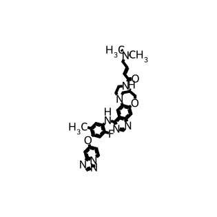 Cc1cc(Nc2ncnc3cc4c(cc23)N2CCN(C(=O)/C=C/CN(C)C)[C@H](CO4)C2)c(F)cc1Oc1ccn2ncnc2c1